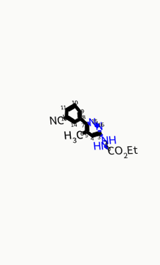 CCOC(=O)NNc1cc(C)c(-c2cccc(C#N)c2)nn1